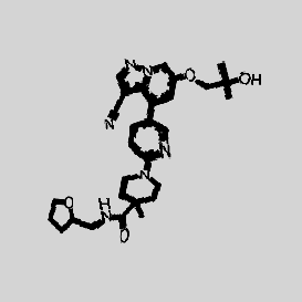 CC(C)(O)COc1cc(-c2ccc(N3CCC(C)(C(=O)NCC4CCCO4)CC3)nc2)c2c(C#N)cnn2c1